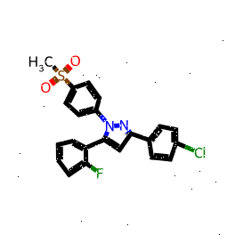 CS(=O)(=O)c1ccc(-n2nc(-c3ccc(Cl)cc3)cc2-c2ccccc2F)cc1